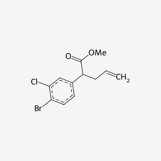 C=CCC(C(=O)OC)c1ccc(Br)c(Cl)c1